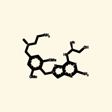 CCC[C@@H](CO)Nc1nc(N)nc2cn(Cc3c(OC)cc(CN(C)CCN)cc3OC)nc12